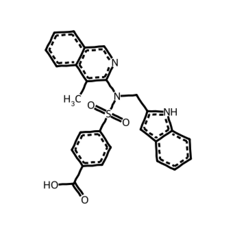 Cc1c(N(Cc2cc3ccccc3[nH]2)S(=O)(=O)c2ccc(C(=O)O)cc2)ncc2ccccc12